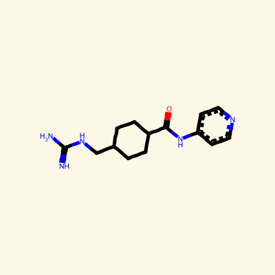 N=C(N)NCC1CCC(C(=O)Nc2ccncc2)CC1